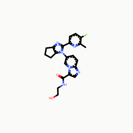 Cc1nc(-c2nc3c(n2-c2ccc4ncc(C(=O)NCCO)n4c2)CCC3)ccc1F